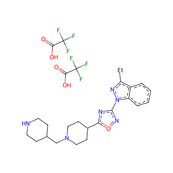 CCc1nn(-c2noc(C3CCN(CC4CCNCC4)CC3)n2)c2ccccc12.O=C(O)C(F)(F)F.O=C(O)C(F)(F)F